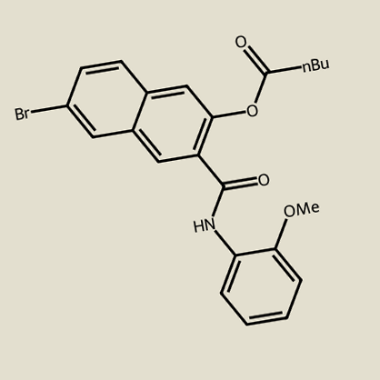 CCCCC(=O)Oc1cc2ccc(Br)cc2cc1C(=O)Nc1ccccc1OC